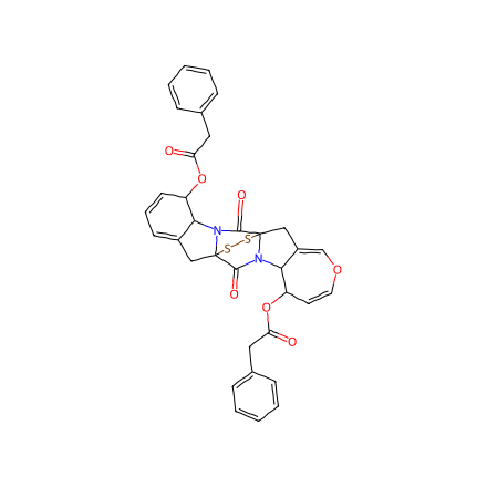 O=C(Cc1ccccc1)OC1C=CC=C2CC34SSC5(CC6=COC=CC(OC(=O)Cc7ccccc7)C6N5C3=O)C(=O)N4C21